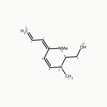 C=C/C=C(\C=C/N(C)CCO)NC